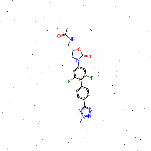 CC(=O)NC[C@H]1CN(c2cc(F)c(-c3ccc(-c4nnn(C)n4)cc3)c(F)c2)C(=O)O1